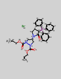 C=CCOC(=O)N1CC(N2CC[C@@H]([P+](c3ccccc3)(c3ccccc3)c3ccccc3)C2=O)CN1C(=O)OCC=C.[Br-]